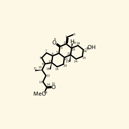 C/C=C1/C(=O)C2C3CCC([C@H](C)CCC(=O)OC)[C@@]3(C)CCC2[C@@]2(C)CC[C@@H](O)C[C@@H]12